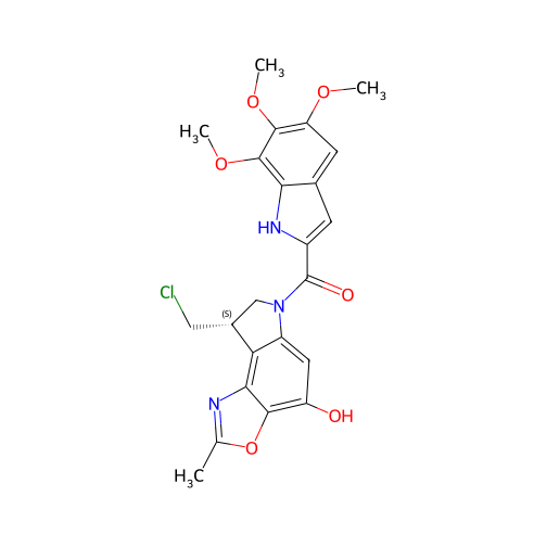 COc1cc2cc(C(=O)N3C[C@@H](CCl)c4c3cc(O)c3oc(C)nc43)[nH]c2c(OC)c1OC